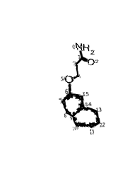 NC(=O)CCOc1ccc2ccccc2c1